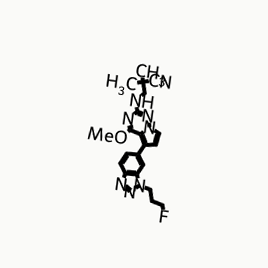 COc1nc(NCC(C)(C)C#N)nn2ccc(-c3ccc4nnn(CCCF)c4c3)c12